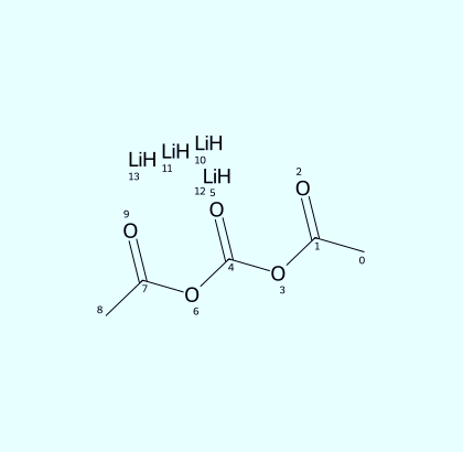 CC(=O)OC(=O)OC(C)=O.[LiH].[LiH].[LiH].[LiH]